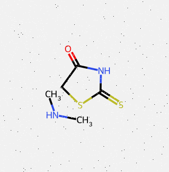 CNC.O=C1CSC(=S)N1